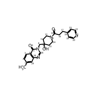 Cc1ccc2c(=O)n(CC3(O)CCN(C(=O)CCc4ccncc4)CC3)cnc2c1